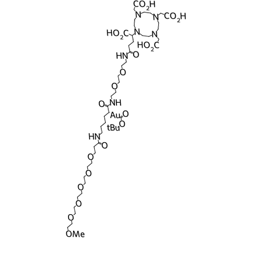 COCCOCCOCCOCCOCCOCCC(=O)NCCCC[CH]([Au][C](=O)OC(C)(C)C)C(=O)NCCOCCOCCNC(=O)CCC(C(=O)O)N1CCN(CC(=O)O)CCN(CC(=O)O)CCN(CC(=O)O)CC1